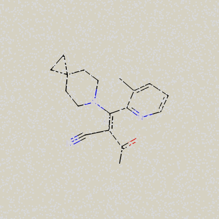 CC(=O)/C(C#N)=C(\c1ncccc1C)N1CCC2(CC1)CC2